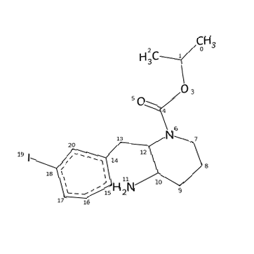 CC(C)OC(=O)N1CCCC(N)C1Cc1cccc(I)c1